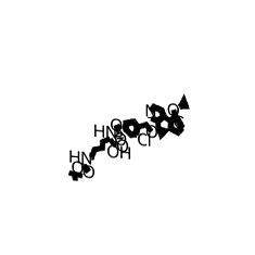 CC(C)(C)OC(=O)NCCCCC(NS(=O)(=O)c1ccc(COC2(c3cnccc3-c3ccccc3OC3CC3)CC2)c(Cl)c1)C(=O)O